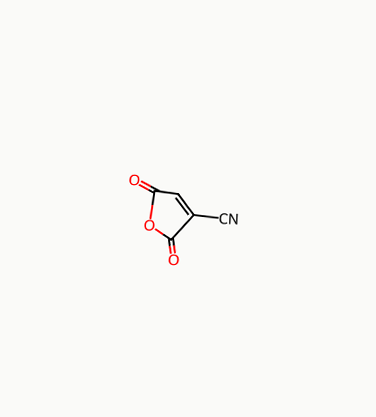 N#CC1=CC(=O)OC1=O